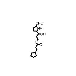 O=CC1CC[C@H](C(O)CCOC(=O)CCC2CCCC2)N1